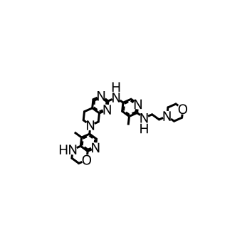 Cc1cc(Nc2ncc3c(n2)CN(c2cnc4c(c2C)NCCO4)CC3)cnc1NCCN1CCOCC1